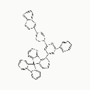 c1ccc(-c2nc(-c3ccc(-c4ccc5ccccc5c4)cc3)nc(-c3cccc4c3-c3ccccc3C43c4ccccc4-c4ccccc43)n2)cc1